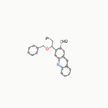 CC(C)CC(OCc1ccccc1)c1cc2nc3ccccc3cc2cc1C=O